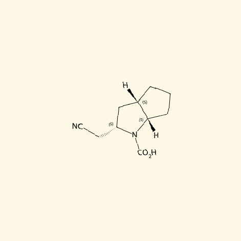 N#CC[C@@H]1C[C@@H]2CCC[C@@H]2N1C(=O)O